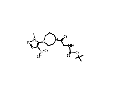 Cn1ncc([N+](=O)[O-])c1N1CCCN(C(=O)CNC(=O)OC(C)(C)C)CC1